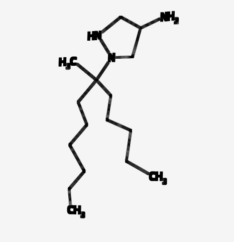 CCCCCCC(C)(CCCCC)N1CC(N)CN1